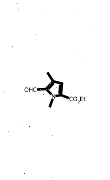 CCOC(=O)c1cc(C)c(C=O)n1C